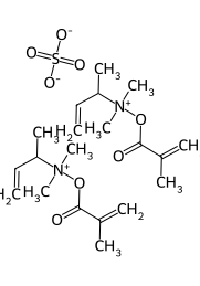 C=CC(C)[N+](C)(C)OC(=O)C(=C)C.C=CC(C)[N+](C)(C)OC(=O)C(=C)C.O=S(=O)([O-])[O-]